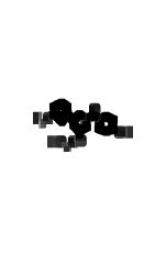 O=C(O)OC1CC(c2cccc(C(F)(F)F)c2)CN(C(=O)N2CCC(O)CC2)C1